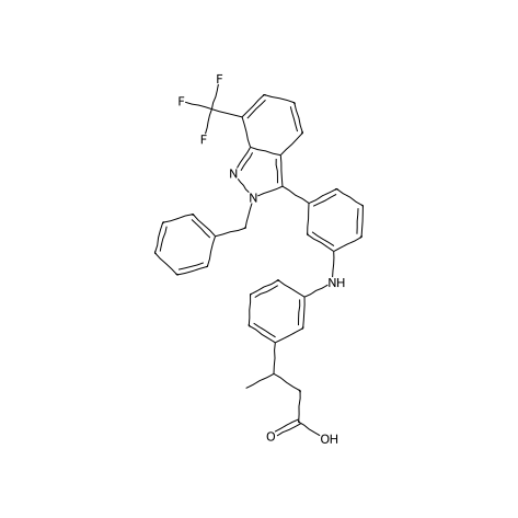 CC(CC(=O)O)c1cccc(Nc2cccc(-c3c4cccc(C(F)(F)F)c4nn3Cc3ccccc3)c2)c1